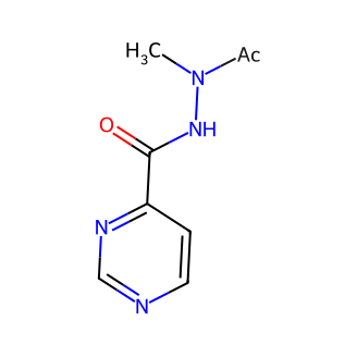 CC(=O)N(C)NC(=O)c1ccncn1